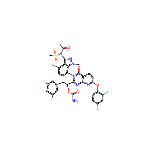 CC(=O)N(c1nn(C)c2c(-n3c(C(Cc4cc(F)cc(F)c4)OC(N)=O)nc4nc(Oc5ccc(F)cc5F)ccc4c3=O)ccc(Cl)c12)S(C)(=O)=O